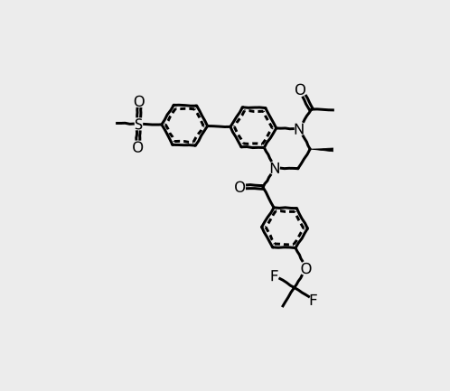 CC(=O)N1c2ccc(-c3ccc(S(C)(=O)=O)cc3)cc2N(C(=O)c2ccc(OC(C)(F)F)cc2)C[C@@H]1C